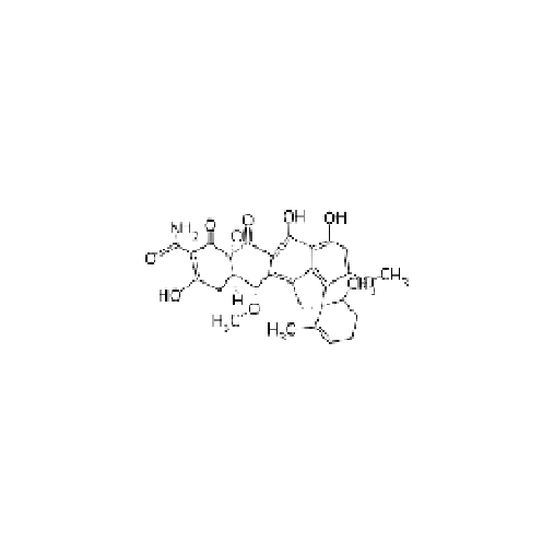 COc1cc(O)c2c(O)c3c(c4c2c1[C@]1(C4)C(C)=CCCC1C)[C@H](OC)[C@H]1CC(O)=C(C(N)=O)C(=O)[C@@]1(O)C3=O